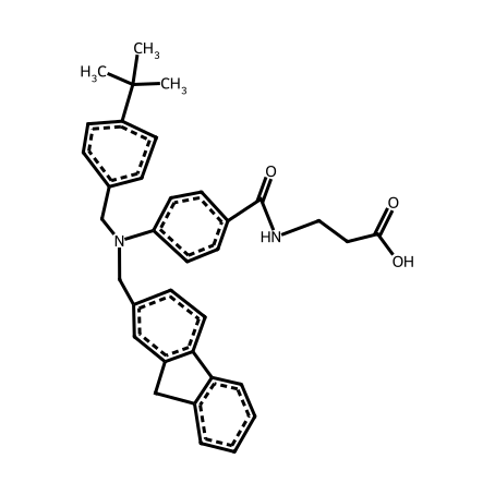 CC(C)(C)c1ccc(CN(Cc2ccc3c(c2)Cc2ccccc2-3)c2ccc(C(=O)NCCC(=O)O)cc2)cc1